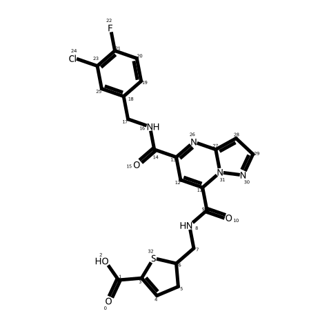 O=C(O)C1=CCC(CNC(=O)c2cc(C(=O)NCc3ccc(F)c(Cl)c3)nc3ccnn23)S1